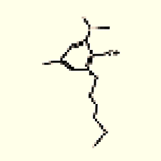 CCCCCCc1cc(C)cc(C(C)C)c1O